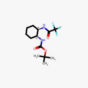 CC(C)(C)OC(=O)N[C@H]1CCCC[C@H]1NC(=O)C(F)(F)F